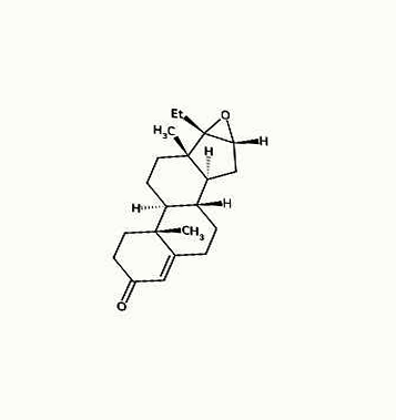 CC[C@@]12O[C@@H]1C[C@H]1[C@@H]3CCC4=CC(=O)CC[C@]4(C)[C@H]3CC[C@@]12C